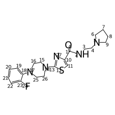 O=C(NCCN1CCCC1)c1csc(N2CCN(c3ccccc3F)CC2)n1